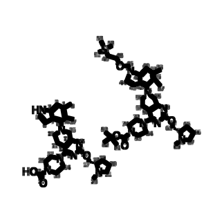 Cc1cc2[nH]ccc2c(N2CCc3c(nc(OC[C@@H]4CCCN4C)nc3N3CCN(C(=O)O)CC3)C2)c1C.Cc1cc2c(ccn2COCC[Si](C)(C)C)c(N2CCc3c(nc(OC[C@@H]4CCCN4C)nc3N3CCN(C(=O)OC(C)(C)C)CC3)C2)c1C